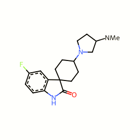 CNC1CCN(C2CCC3(CC2)C(=O)Nc2ccc(F)cc23)C1